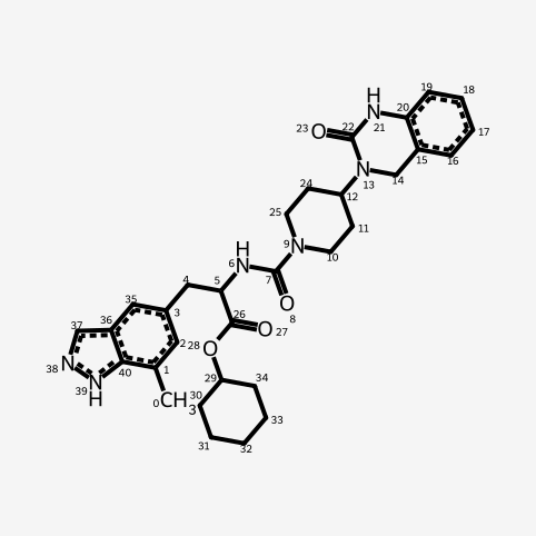 Cc1cc(CC(NC(=O)N2CCC(N3Cc4ccccc4NC3=O)CC2)C(=O)OC2CCCCC2)cc2cn[nH]c12